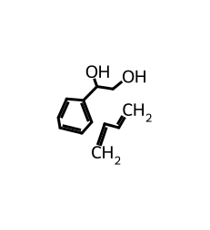 C=CC=C.OCC(O)c1ccccc1